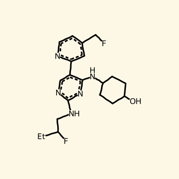 CCC(F)CNc1ncc(-c2cc(CF)ccn2)c(NC2CCC(O)CC2)n1